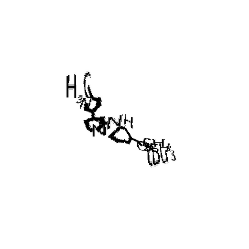 Cc1ccc(-c2ccnc(NC3CCCC(CO[Si](C)(C)C(C)(C)C)C3)c2)cn1